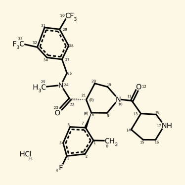 Cc1cc(F)ccc1[C@@H]1CN(C(=O)C2CCCNC2)CC[C@H]1C(=O)N(C)Cc1cc(C(F)(F)F)cc(C(F)(F)F)c1.Cl